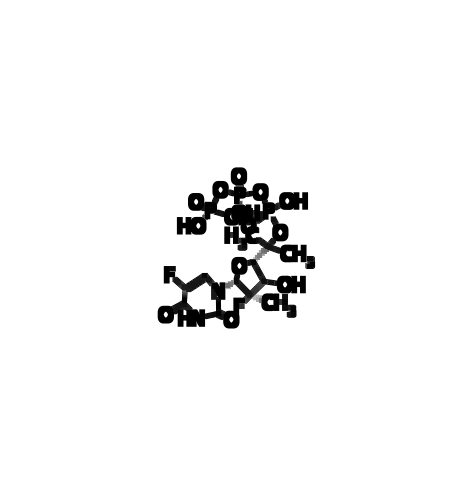 CC(C)(OP(=O)(O)OP(=O)(O)OP(=O)(O)O)[C@H]1O[C@@H](n2cc(F)c(=O)[nH]c2=O)[C@](C)(F)C1O